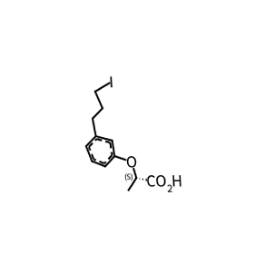 C[C@H](Oc1cccc(CCCI)c1)C(=O)O